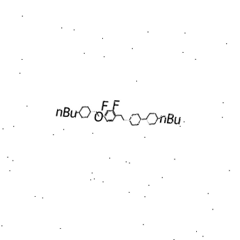 CCCC[C@H]1CC[C@H](COc2ccc(CC[C@H]3CC[C@H]([C@H]4CC[C@H](CCCC)CC4)CC3)c(F)c2F)CC1